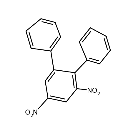 O=[N+]([O-])c1cc(-c2ccccc2)c(-c2ccccc2)c([N+](=O)[O-])c1